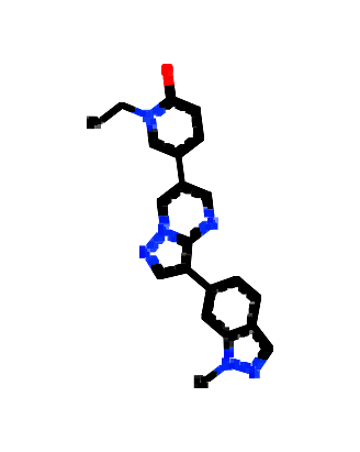 CCn1ncc2ccc(-c3cnn4cc(-c5ccc(=O)n(CC(C)C)c5)cnc34)cc21